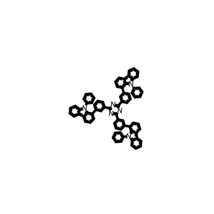 c1ccc(-n2c3ccccc3c3cccc(-c4cccc(-c5nc(-c6cccc(-c7cccc8c9ccccc9n(-c9ccccc9)c78)c6)nc(-c6cccc(-c7cccc8c9ccccc9n(-c9ccccc9)c78)c6)n5)c4)c32)cc1